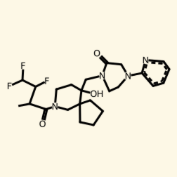 CC(C(=O)N1CCC(O)(CN2CCN(c3ccccn3)CC2=O)C2(CCCC2)C1)C(F)C(F)F